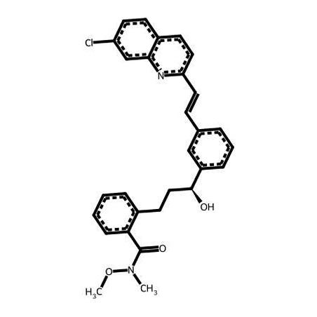 CON(C)C(=O)c1ccccc1CC[C@H](O)c1cccc(C=Cc2ccc3ccc(Cl)cc3n2)c1